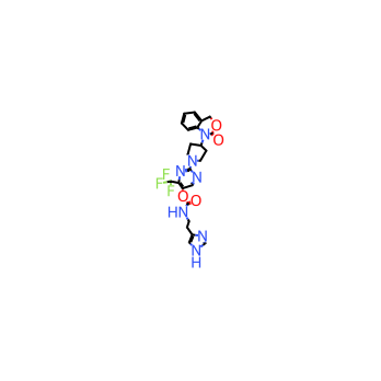 O=C(NCCc1c[nH]cn1)Oc1cnc(N2CCC(N3C(=O)OCc4ccccc43)CC2)nc1C(F)(F)F